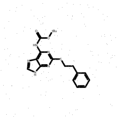 CC(C)(C)OC(=O)Nc1nc(SCCc2ccccc2)nc2[nH]cnc12